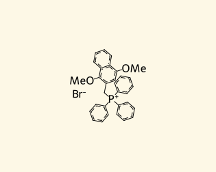 COc1cc(C[P+](c2ccccc2)(c2ccccc2)c2ccccc2)c(OC)c2ccccc12.[Br-]